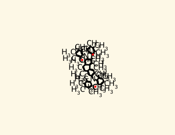 Cc1c(C)c(C)c(N(c2c(C)c(C)c(C)c(C)c2C)c2c(C)c(C)c3c(c2C)c(C)c(C)c2c(C)c(N(c4c(C)c(C)c(C)c(C)c4C)c4c(C)c(C)c(C)c(C)c4C)c(C)c(C)c23)c(C)c1C